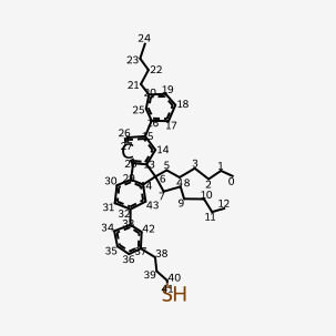 CCCCCCC1(CCCCCC)c2cc(-c3cccc(CCCC)c3)ccc2-c2ccc(-c3cccc(CCCS)c3)cc21